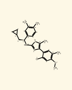 COc1cc(Cl)c(-c2nc(N[C@@H](CC3CC3)c3ccc(C)c(P)c3)sc2C)cc1C